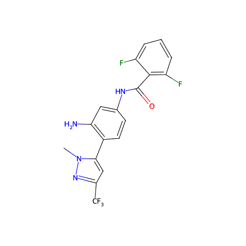 Cn1nc(C(F)(F)F)cc1-c1ccc(NC(=O)c2c(F)cccc2F)cc1N